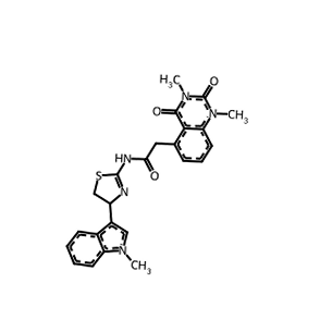 Cn1c(=O)c2c(CC(=O)NC3=NC(c4cn(C)c5ccccc45)CS3)cccc2n(C)c1=O